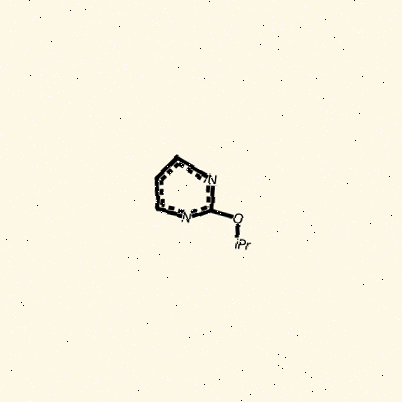 CC(C)Oc1ncccn1